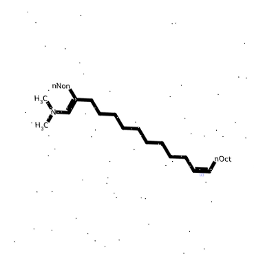 CCCCCCCC/C=C\CCCCCCCCCC(=CN(C)C)CCCCCCCCC